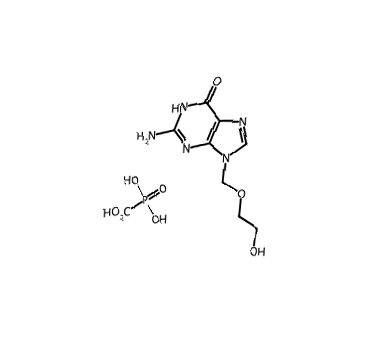 Nc1nc2c(ncn2COCCO)c(=O)[nH]1.O=C(O)P(=O)(O)O